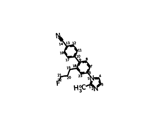 Cc1nccn1-c1ccc(-c2ccc(C#N)cc2)c(CCCF)c1